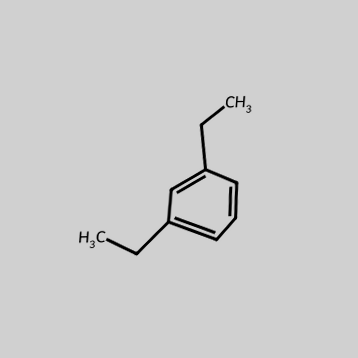 CCc1cccc(CC)c1